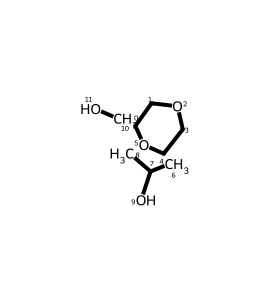 C1COCCO1.CC(C)O.CO